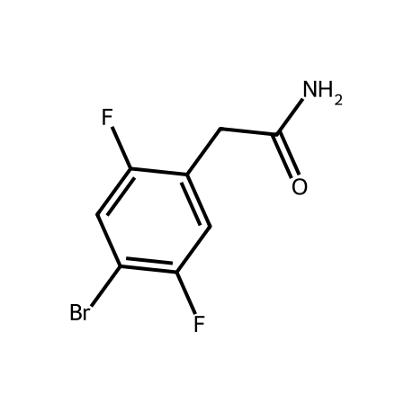 NC(=O)Cc1cc(F)c(Br)cc1F